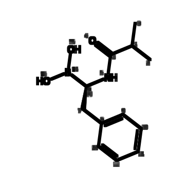 CC(C)C(=O)N[C@@H](Cc1ccccc1)B(O)O